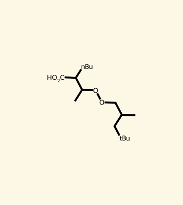 CCCCC(C(=O)O)C(C)OOCC(C)CC(C)(C)C